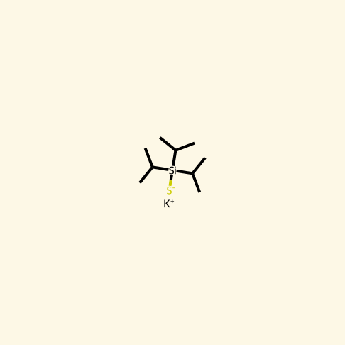 CC(C)[Si]([S-])(C(C)C)C(C)C.[K+]